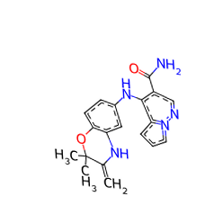 C=C1Nc2cc(Nc3c(C(N)=O)cnn4cccc34)ccc2OC1(C)C